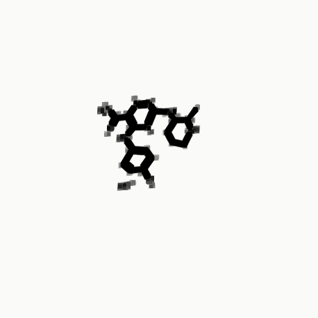 C[C@H]1NCCC[C@H]1Nc1nnc(C(N)=O)c(Nc2ccc(Cl)cc2)n1.Cl